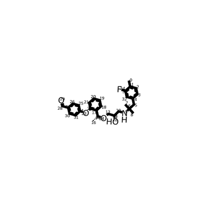 Cc1ccc(CC(C)(C)NC[C@@H](O)CO[C@H](C)c2ccccc2Oc2ccc(C=O)cc2)cc1F